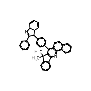 CC1(C)c2ccccc2-c2nc3c(ccc4ccccc43)c(-c3ccc(C4C(c5ccccc5)=NC5C=CC=CC54)cc3)c21